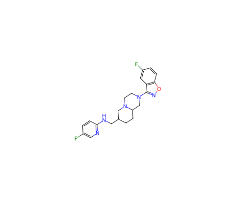 Fc1ccc(NCC2CCC3CN(c4noc5ccc(F)cc45)CCN3C2)nc1